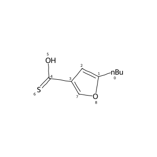 CCCCc1cc(C(O)=S)co1